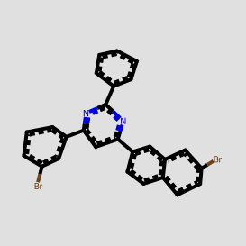 Brc1cccc(-c2cc(-c3ccc4ccc(Br)cc4c3)nc(-c3ccccc3)n2)c1